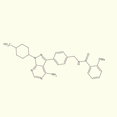 COc1ccccc1C(=O)NCc1ccc(-c2nn(C3CCC(C(=O)O)CC3)c3ncnc(N)c23)cc1